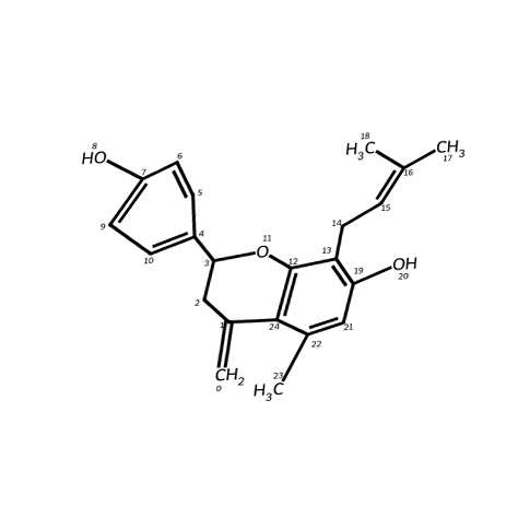 C=C1CC(c2ccc(O)cc2)Oc2c(CC=C(C)C)c(O)cc(C)c21